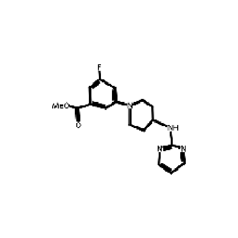 COC(=O)c1cc(F)cc(N2CCC(Nc3ncccn3)CC2)c1